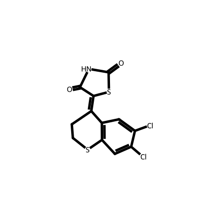 O=C1NC(=O)C(=C2CCSc3cc(Cl)c(Cl)cc32)S1